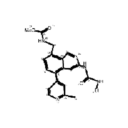 CCNC(=O)Nc1cc2c(-c3ccnc(C)c3)ccc(CNC(=O)OC)c2cn1